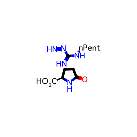 CCCCCNC(=N)N=N.O=C1CC[C@H](C(=O)O)N1